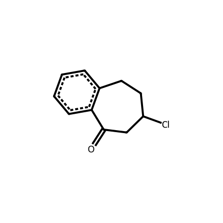 O=C1CC(Cl)CCc2ccccc21